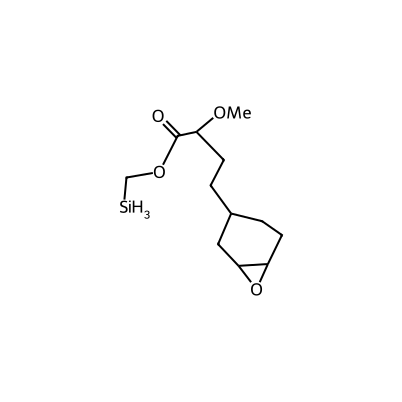 COC(CCC1CCC2OC2C1)C(=O)OC[SiH3]